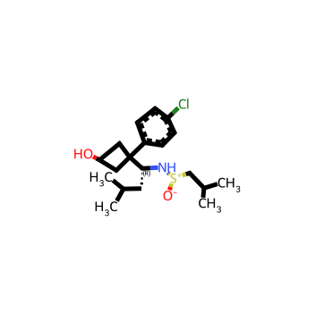 CC(C)C[C@@H](N[S+]([O-])CC(C)C)C1(c2ccc(Cl)cc2)CC(O)C1